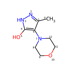 Cc1n[nH]c(O)c1N1CCOCC1